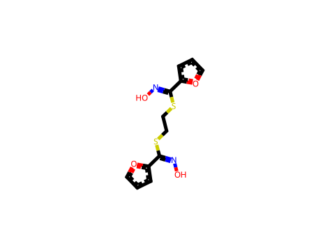 ON=C(SCCSC(=NO)c1ccco1)c1ccco1